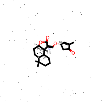 CC1=C[C@@H](O/C=C2\C(=O)O[C@]3(C)CCC4C(C)(C)CCC[C@]4(C)[C@@H]23)CC1=O